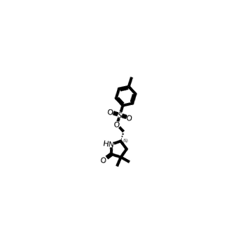 Cc1ccc(S(=O)(=O)OC[C@@H]2CC(C)(C)C(=O)N2)cc1